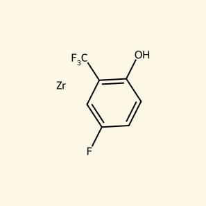 Oc1ccc(F)cc1C(F)(F)F.[Zr]